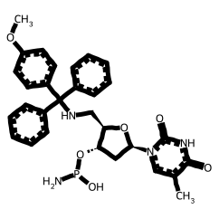 COc1ccc(C(NC[C@H]2O[C@@H](n3cc(C)c(=O)[nH]c3=O)C[C@@H]2OP(N)O)(c2ccccc2)c2ccccc2)cc1